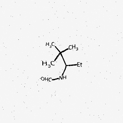 CCC(N[C]=O)C(C)(C)C